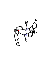 N#C/C(=C(/C(=C(/C#N)c1c[nH]c2ccc(Cl)cc12)c1cccnc1)c1cccnc1)c1c[nH]c2ccc(F)cc12